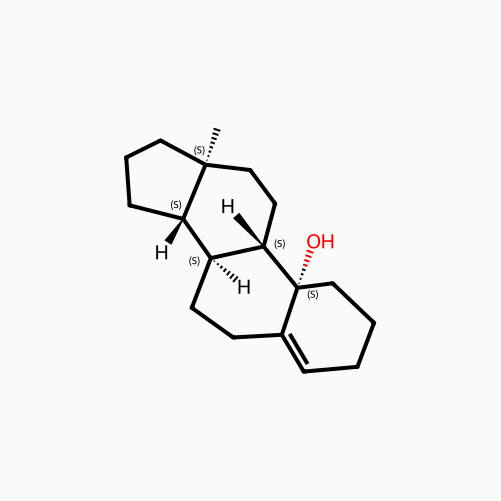 C[C@@]12CCC[C@H]1[C@@H]1CCC3=CCCC[C@]3(O)[C@H]1CC2